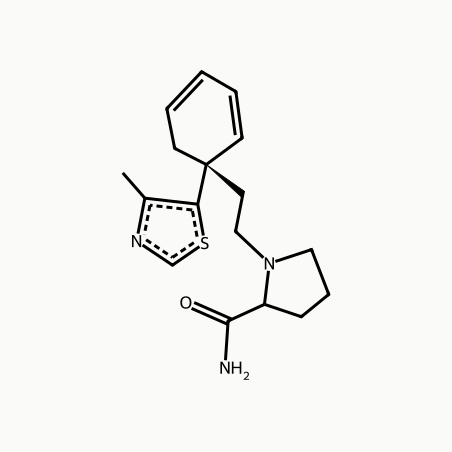 Cc1ncsc1[C@@]1(CCN2CCCC2C(N)=O)C=CC=CC1